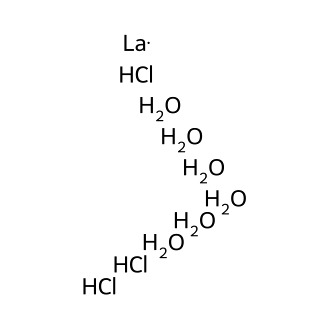 Cl.Cl.Cl.O.O.O.O.O.O.[La]